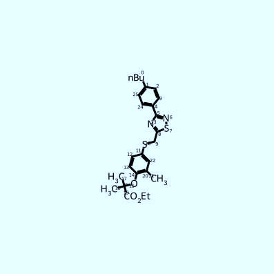 CCCCc1ccc(-c2nsc(CSc3ccc(OC(C)(C)C(=O)OCC)c(C)c3)n2)cc1